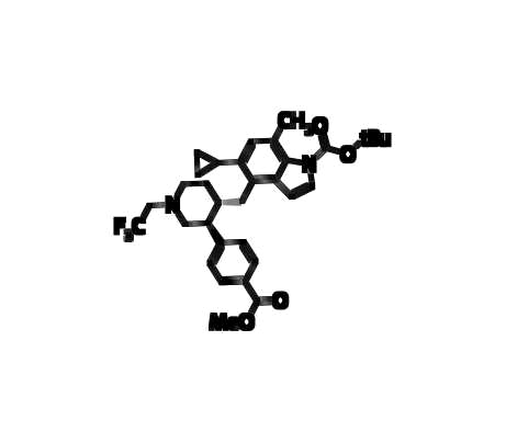 COC(=O)c1ccc([C@H]2CN(CC(F)(F)F)CC[C@@H]2Cc2c(C3CC3)cc(C)c3c2ccn3C(=O)OC(C)(C)C)cc1